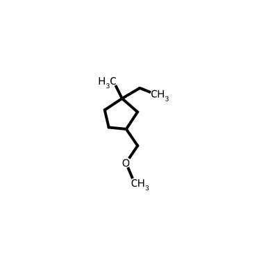 CCC1(C)CCC(COC)C1